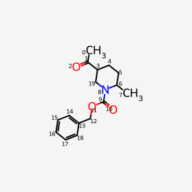 CC(=O)C1CCC(C)N(C(=O)OCc2ccccc2)C1